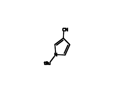 CC(C)(C)n1ccc(C#N)c1